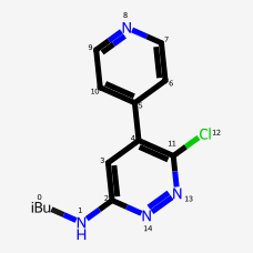 CCC(C)Nc1cc(-c2ccncc2)c(Cl)nn1